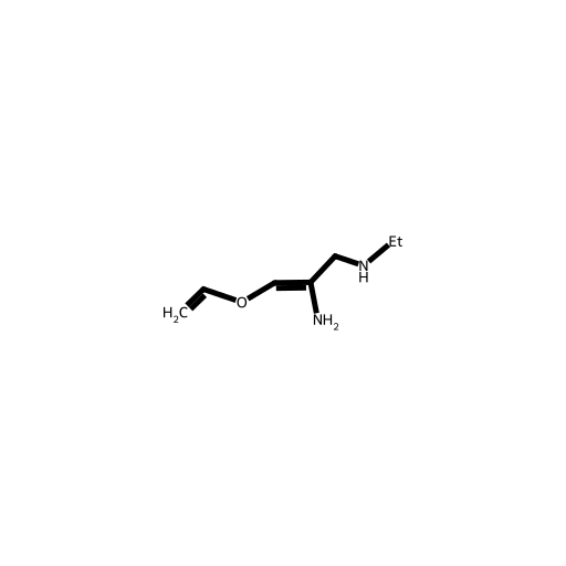 C=CO/C=C(\N)CNCC